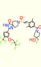 Cc1cc(C(=O)N2CCC(O)(CF)CC2)cc(C)c1/C=C/[S+]([O-])N1CCC2(CC1)N=C(c1ccc(C(F)(F)F)c(OCC(F)(F)C(F)F)c1)NC2=O